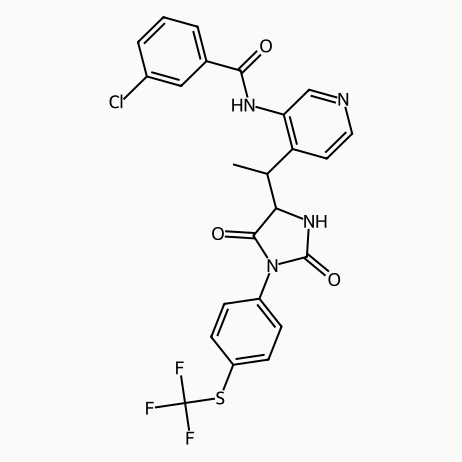 CC(c1ccncc1NC(=O)c1cccc(Cl)c1)C1NC(=O)N(c2ccc(SC(F)(F)F)cc2)C1=O